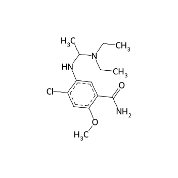 CCN(CC)C(C)Nc1cc(C(N)=O)c(OC)cc1Cl